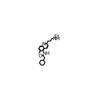 CCNCCCc1ccc2c(NC(=O)CC3CCCCC3)c(C)ccc2n1